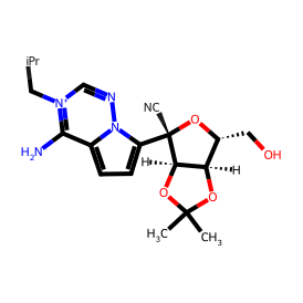 CC(C)C[n+]1cnn2c([C@]3(C#N)O[C@H](CO)[C@H]4OC(C)(C)O[C@H]43)ccc2c1N